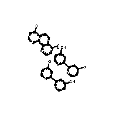 Oc1ccnc(-c2cc(O)ccn2)c1.Oc1ccnc(-c2cc(O)ccn2)c1.Oc1ccnc2c1ccc1c(O)ccnc12